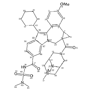 COc1ccc2c(c1)C1CC1(C(=O)N1CC3CN(C)CC(C1)N3C(C)=O)Cn1c-2c(C2CCCCC2)c2ccc(C(=O)NS(=O)(=O)N(C)C)cc21